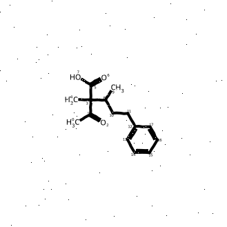 CC(=O)C(C)(C(=O)O)C(C)CCc1ccccc1